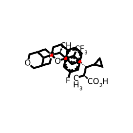 C[C@H](C(=O)O)[C@H](c1ccc2c(c1)OC(C1C3COCC1CN([C@@H](C)c1cc(F)ccc1C(F)(F)F)C3)CC2)C1CC1